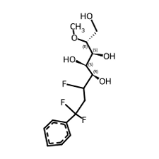 CO[C@H](CO)[C@@H](O)[C@H](O)[C@@H](O)C(F)CC(F)(F)c1ccccc1